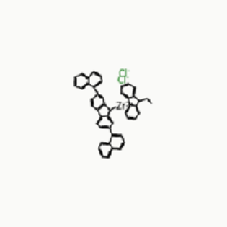 CCC1c2ccccc2-c2ccccc21.[Cl-].[Cl-].[Zr+2][CH]1c2cc(-c3cccc4ccccc34)ccc2-c2ccc(-c3cccc4ccccc34)cc21